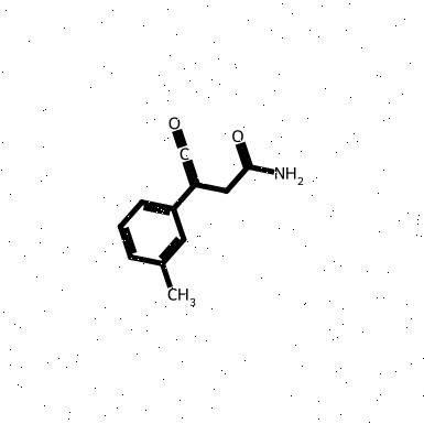 Cc1cccc(C(=C=O)CC(N)=O)c1